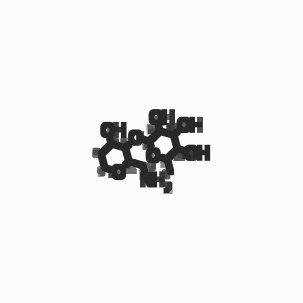 CC1OC(OC2C(O)CCOC2CN)C(O)C(O)C1O